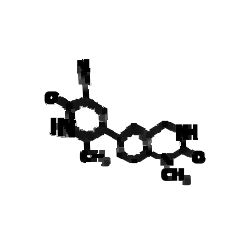 Cc1[nH]c(=O)c(C#N)cc1-c1ccc2c(c1)CNC(=O)N2C